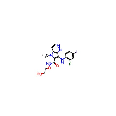 Cn1c(C(=O)NOCCO)c(Nc2ccc(I)cc2F)c2nnccc21